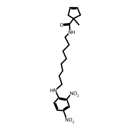 CC1(C(=O)NCCCCCCCCNc2ccc([N+](=O)[O-])cc2[N+](=O)[O-])CC=CC1